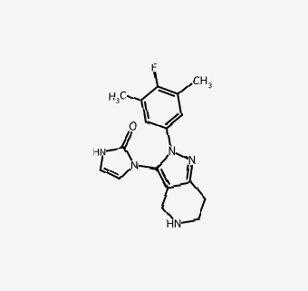 Cc1cc(-n2nc3c(c2-n2cc[nH]c2=O)CNCC3)cc(C)c1F